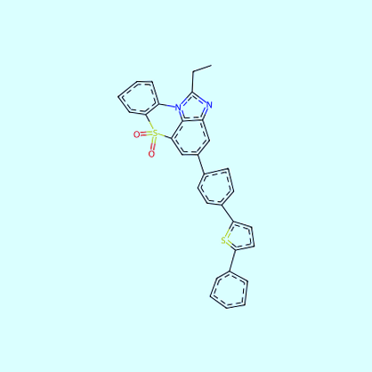 CCc1nc2cc(-c3ccc(-c4ccc(-c5ccccc5)s4)cc3)cc3c2n1-c1ccccc1S3(=O)=O